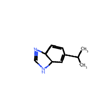 CC(C)C1=CC2NC=NC2C=C1